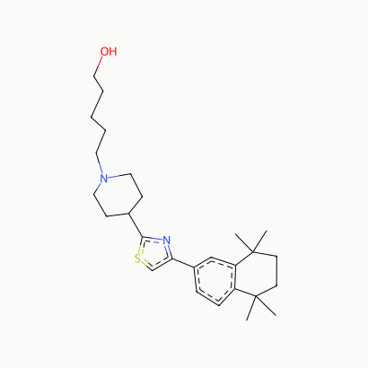 CC1(C)CCC(C)(C)c2cc(-c3csc(C4CCN(CCCCCO)CC4)n3)ccc21